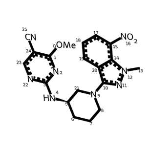 COc1nc(N[C@@H]2CCCN(c3nn(C)c4c([N+](=O)[O-])cccc34)C2)ncc1C#N